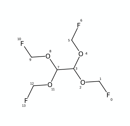 FCOC(OCF)C(OCF)OCF